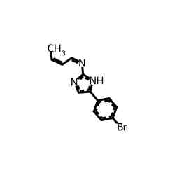 C/C=C\C=N/c1ncc(-c2ccc(Br)cc2)[nH]1